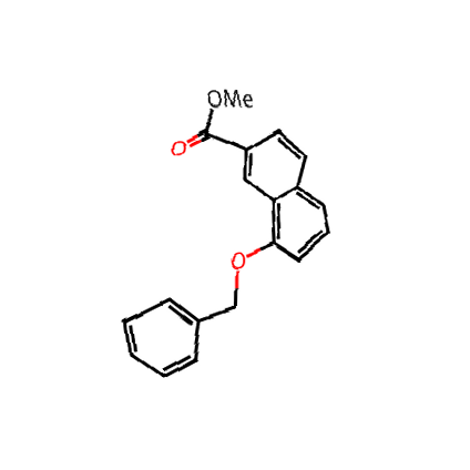 COC(=O)c1ccc2cccc(OCc3ccccc3)c2c1